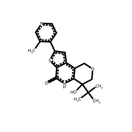 Cc1cnccc1-c1cc2c3c([nH]c(=O)c2s1)C(O)(C(C)(C)C)COC3